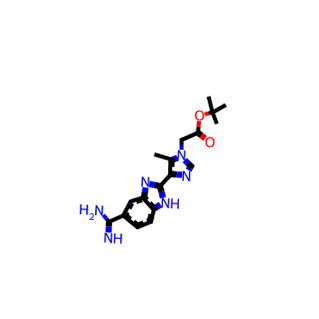 Cc1c(-c2nc3cc(C(=N)N)ccc3[nH]2)ncn1CC(=O)OC(C)(C)C